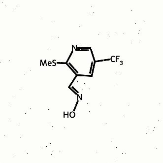 CSc1ncc(C(F)(F)F)cc1C=NO